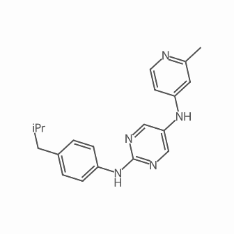 Cc1cc(Nc2cnc(Nc3ccc(CC(C)C)cc3)nc2)ccn1